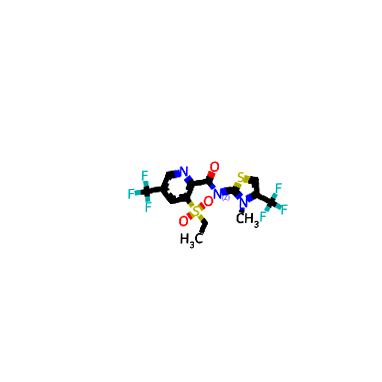 CCS(=O)(=O)c1cc(C(F)(F)F)cnc1C(=O)/N=c1\scc(C(F)(F)F)n1C